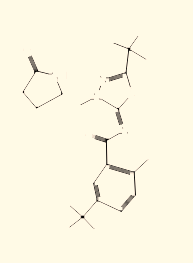 CC(C)(C)c1nn(C[C@@H]2CCC(=O)N2)c(=NC(=O)c2cc(C(F)(F)F)ccc2F)s1